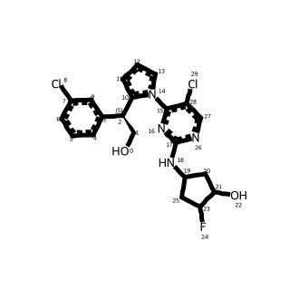 OC[C@@H](c1cccc(Cl)c1)c1cccn1-c1nc(NC2CC(O)C(F)C2)ncc1Cl